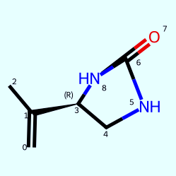 C=C(C)[C@@H]1CNC(=O)N1